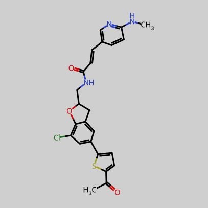 CNc1ccc(/C=C/C(=O)NCC2Cc3cc(-c4ccc(C(C)=O)s4)cc(Cl)c3O2)cn1